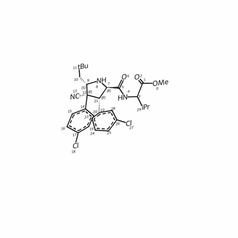 COC(=O)C(NC(=O)[C@@H]1N[C@@H](CC(C)(C)C)[C@](C#N)(c2ccc(Cl)cc2)[C@H]1c1cccc(Cl)c1)C(C)C